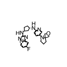 Fc1ccn2nc(N[C@H]3CC[C@H](Nc4ccc(N5CCCC56COC6)cn4)C3)nc2c1